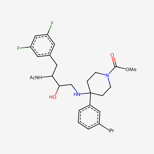 COC(=O)N1CCC(NCC(O)C(Cc2cc(F)cc(F)c2)NC(C)=O)(c2cccc(C(C)C)c2)CC1